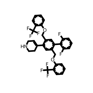 Fc1cccc(F)c1-c1cc(COc2ccccc2C(F)(F)F)c(C2=CCNCC2)cc1COc1ccccc1C(F)(F)F